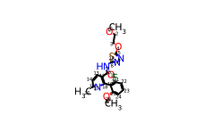 COCCOc1nnc(NC(=O)c2ccc(C)nc2-c2c(F)cccc2OC)s1